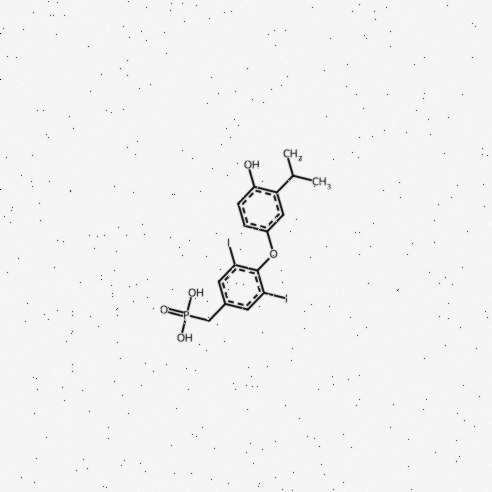 CC(C)c1cc(Oc2c(I)cc(CP(=O)(O)O)cc2I)ccc1O